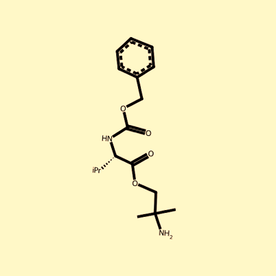 CC(C)[C@H](NC(=O)OCc1ccccc1)C(=O)OCC(C)(C)N